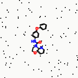 O=C(Nc1ccc(Oc2ccccc2)cc1)N1CCOc2cccnc21